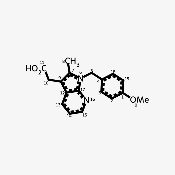 COc1ccc(Cn2c(C)c(CC(=O)O)c3cccnc32)cc1